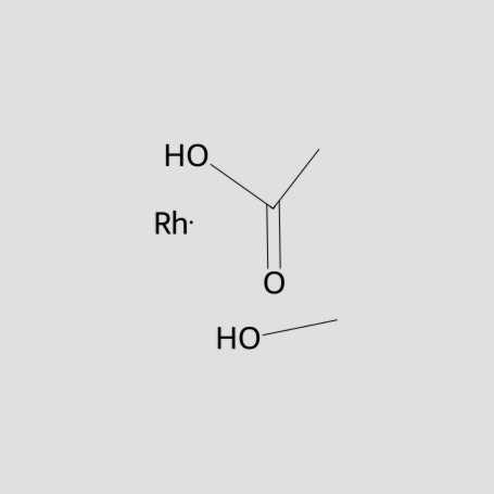 CC(=O)O.CO.[Rh]